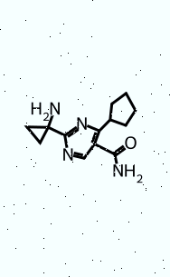 NC(=O)c1cnc(C2(N)CC2)nc1C1CCCC1